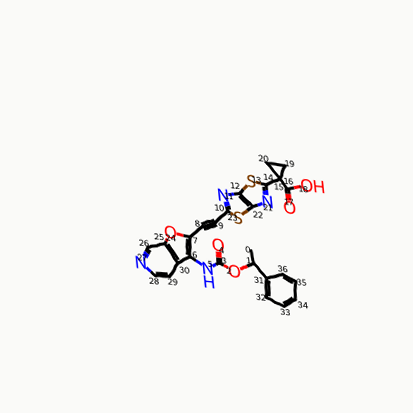 CC(OC(=O)Nc1c(C#Cc2nc3sc(C4(C(=O)O)CC4)nc3s2)oc2cnccc12)c1ccccc1